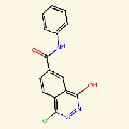 O=C(Nc1ccccc1)c1ccc2c(Cl)nnc(O)c2c1